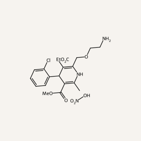 CCOC(=O)C1=C(COCCN)NC(C)=C(C(=O)OC)C1c1ccccc1Cl.O=[N+]([O-])O